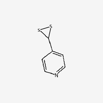 c1cc(C2SS2)ccn1